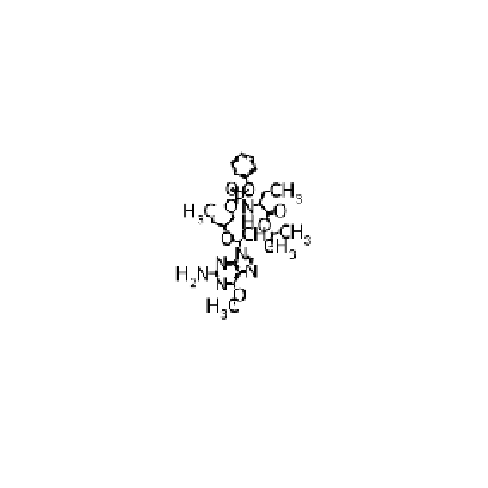 CCC(COP(=O)(NC(CC)C(=O)OC(C)C)Oc1ccccc1)OC(C)n1cnc2c(OC)nc(N)nc21